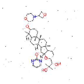 C[C@@H]1C[C@H]([C@H](O)C(C)(C)O)O[C@H]2C1[C@@]1(C)CC[C@]3(C)[C@@H](CC[C@H]4C(C)(C)[C@@H](O[C@H]5CN(C6COC6)CCO5)CC[C@@]43C)[C@]1(C)[C@H]2Oc1ncccn1